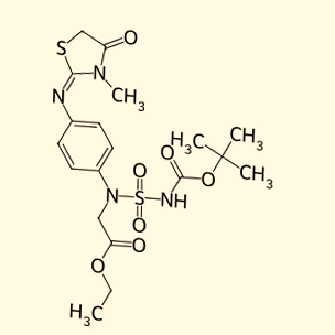 CCOC(=O)CN(c1ccc(N=C2SCC(=O)N2C)cc1)S(=O)(=O)NC(=O)OC(C)(C)C